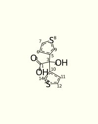 O=C(O)C(O)(c1ccsc1)c1ccsc1